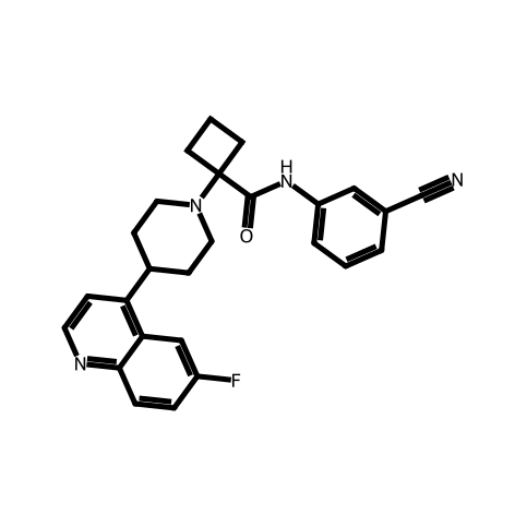 N#Cc1cccc(NC(=O)C2(N3CCC(c4ccnc5ccc(F)cc45)CC3)CCC2)c1